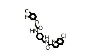 O=C(COc1ccc(Cl)c(F)c1)NC1CCC(CNC(=O)c2ccc3ccc(Cl)cc3n2)CC1